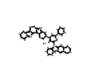 Cc1c(-c2ccc3c(c2)oc2ccc4c5ccccc5oc4c23)cc(-c2ccccc2)nc1-n1c2ccccc2c2cc3ccccc3cc21